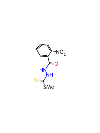 CSC(=S)NNC(=O)c1ccccc1[N+](=O)[O-]